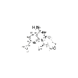 C[C@H]([C@@H]1CCOC1)n1c(=O)nc(N)c2ccc(C3CC3)nc21